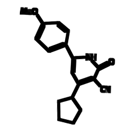 COc1ccc(-c2cc(C3CCCC3)c(C#N)c(=O)[nH]2)cc1